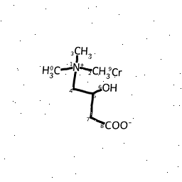 C[N+](C)(C)CC(O)CC(=O)[O-].[Cr]